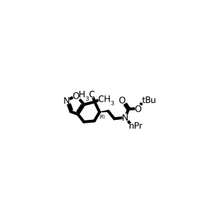 CCCN(CC[C@H]1CCc2cnoc2C1(C)C)C(=O)OC(C)(C)C